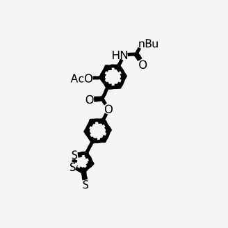 CCCCC(=O)Nc1ccc(C(=O)Oc2ccc(-c3cc(=S)ss3)cc2)c(OC(C)=O)c1